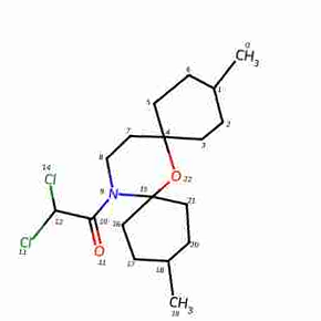 CC1CCC2(CC1)CCN(C(=O)C(Cl)Cl)C1(CCC(C)CC1)O2